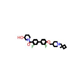 CC1(CN2CCC(COc3ccc(-c4ccc(C(=O)N5CCC[C@H](O)C5)c(F)c4)cc3F)CC2)CCC1